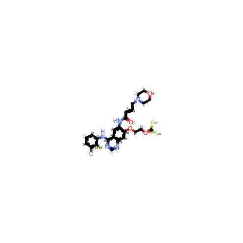 O=C(/C=C/CN1CCOCC1)Nc1cc2c(Nc3cccc(Cl)c3F)ncnc2cc1OCCOC(F)F